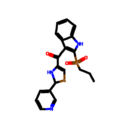 CCCS(=O)(=O)c1[nH]c2ccccc2c1C(=O)C1=CSC(c2cccnc2)N1